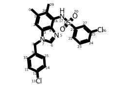 Cc1cc2c(ncn2Cc2ccc(Cl)cc2)c(NS(=O)(=O)c2cccc(Cl)c2)c1C